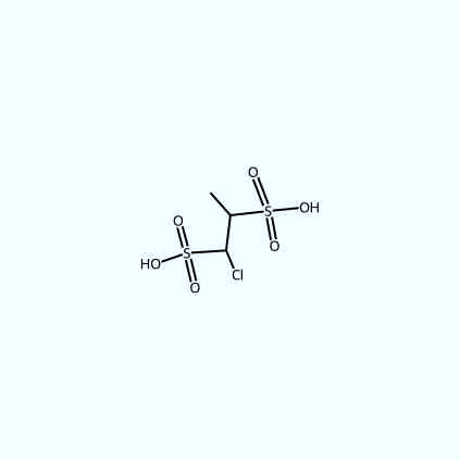 CC(C(Cl)S(=O)(=O)O)S(=O)(=O)O